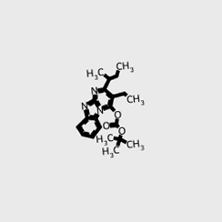 CCc1c(C(C)CC)nc2nc3ccccc3n2c1OC(=O)OC(C)(C)C